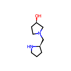 O[C@@H]1CCN(C[C@H]2CCCN2)C1